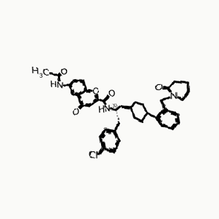 CC(=O)Nc1ccc2oc(C(=O)N[C@H](C=C3CCC(c4ccccc4CN4CCCCC4=O)CC3)Cc3ccc(Cl)cc3)cc(=O)c2c1